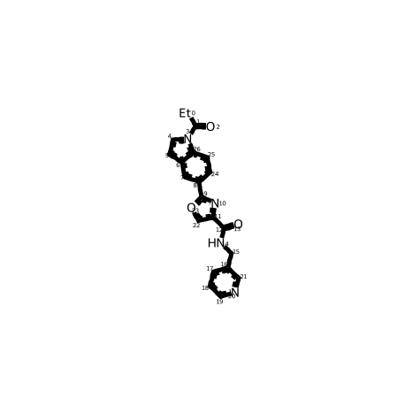 CCC(=O)n1ccc2cc(-c3nc(C(=O)NCc4cccnc4)co3)ccc21